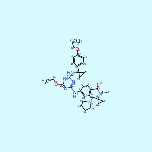 CN(C(=O)c1ccc(Nc2nc(NC3(c4ccc(OCC(=O)O)cc4)CC3)nc(OCC(F)(F)F)n2)cc1)C1(CN2CCCC2)CC1